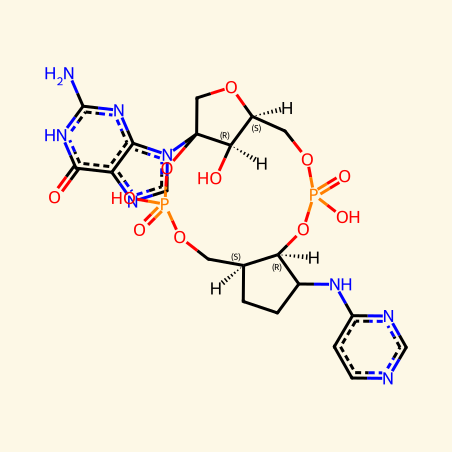 Nc1nc2c(ncn2C23CO[C@@H](COP(=O)(O)O[C@H]4C(Nc5ccncn5)CC[C@H]4COP(=O)(O)O2)[C@H]3O)c(=O)[nH]1